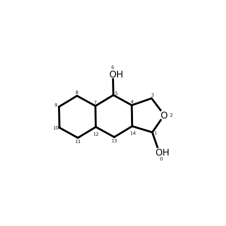 OC1OCC2C(O)C3CCCCC3CC12